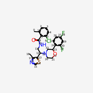 Cc1cccc(Cl)c1C(=O)NCC(c1scnc1C)N1CCOC(c2ccc(F)cc2F)C1